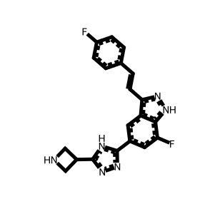 Fc1ccc(C=Cc2n[nH]c3c(F)cc(-c4nnc(C5CNC5)[nH]4)cc23)cc1